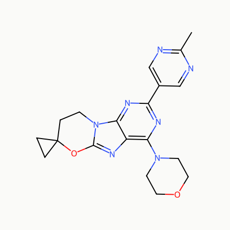 Cc1ncc(-c2nc(N3CCOCC3)c3nc4n(c3n2)CCC2(CC2)O4)cn1